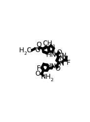 C=CCOC(=O)c1ccc2c(c1C)CC[C@@H]2NC(=O)c1cc(C(=O)NCc2ccc(F)c(C(N)=O)c2)nc2c(F)cnn12